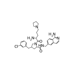 Nc1nccc2cc(CNC(=O)C3CC(Cc4cccc(Cl)c4)CN3C(=O)C(N)CCCN3CCCC3)ccc12